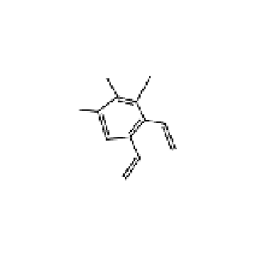 C=Cc1cc(C)c(C)c(C)c1C=C